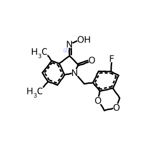 Cc1cc(C)c2c(c1)N(Cc1cc(F)cc3c1OCOC3)C(=O)/C2=N\O